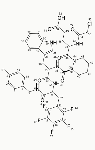 Cc1ccc(CNC(=O)C(Cc2c(F)c(F)c(F)c(F)c2F)NC(=O)C(Cc2c[nH]c3ccccc23)NC(=O)[C@@H]2CCCCN2C(=O)C(CCC(=O)O)NC(=O)CCl)cc1